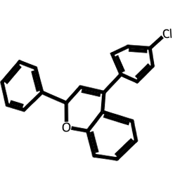 Clc1ccc(C2=CC(c3ccccc3)Oc3ccccc32)cc1